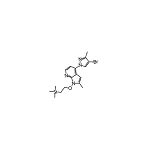 Cc1nn(-c2ccnc3c2cc(C)n3OCC[Si](C)(C)C)cc1Br